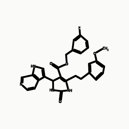 COc1cccc(CCC2=C(C(=O)OCc3cccc(F)c3)C(c3c[nH]c4cnccc34)NC(=O)N2)c1